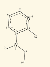 CCN(C)c1cccnc1C